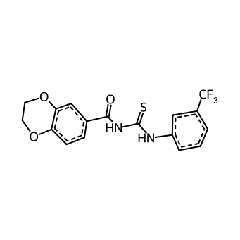 O=C(NC(=S)Nc1cccc(C(F)(F)F)c1)c1ccc2c(c1)OCCO2